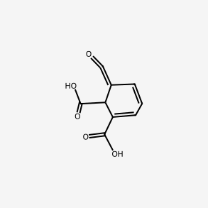 O=C=C1C=CC=C(C(=O)O)C1C(=O)O